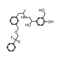 CC(Cc1cccc(COCC(F)(F)c2ccccc2)c1)NC[C@H](O)c1ccc(O)c(CO)c1